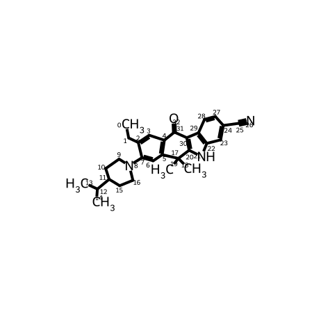 CCc1cc2c(cc1N1CCC(C(C)C)CC1)C(C)(C)c1[nH]c3cc(C#N)ccc3c1C2=O